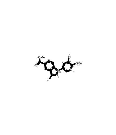 COC(=O)c1ccc2c(c1)c(I)nn2-c1cnc(OCC(C)C)c(Cl)c1